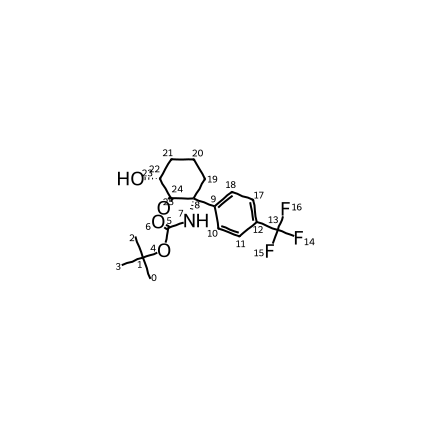 CC(C)(C)OC(=O)N[C@@]1(c2ccc(C(F)(F)F)cc2)CCC[C@@H](O)C1=O